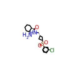 N[C@H]1CCCC[C@H]1C(=O)NC[C@H]1C[C@H](S(=O)(=O)c2cccc(Cl)c2)C1